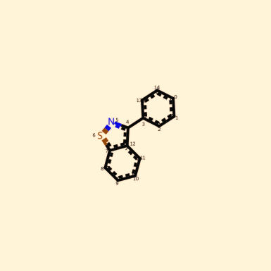 c1ccc(-c2nsc3ccccc23)cc1